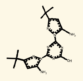 CC(C)(C)c1cc(N)n(-c2nc(O)nc(-n3nc(C(C)(C)C)cc3N)n2)n1